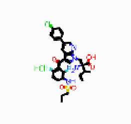 CCCS(=O)(=O)Nc1ccc(F)c(C(=O)c2cn(C[C@](N)(C(=O)O)C(C)CC)c3ncc(-c4ccc(Cl)cc4)cc23)c1F.Cl